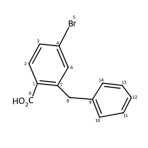 O=C(O)c1ccc(Br)cc1Cc1ccccc1